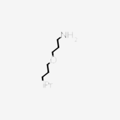 CC(C)CCCOCCCN